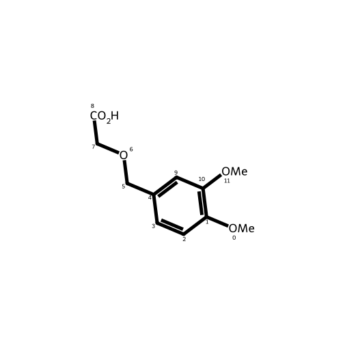 COc1ccc(COCC(=O)O)cc1OC